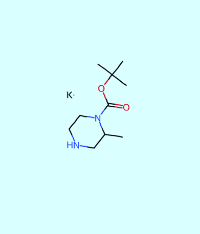 CC1CNCCN1C(=O)OC(C)(C)C.[K]